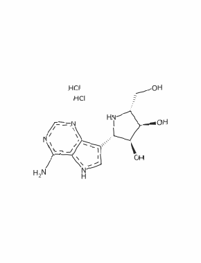 Cl.Cl.Nc1ncnc2c([C@@H]3N[C@H](CO)[C@@H](O)[C@H]3O)c[nH]c12